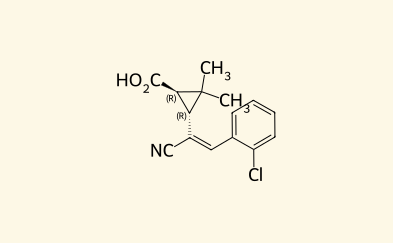 CC1(C)[C@H](C(=O)O)[C@H]1C(C#N)=Cc1ccccc1Cl